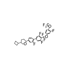 Fc1cc(OC(F)(F)c2c(F)cc(-c3ccc(C4CCC(C5CCC5)CO4)cc3F)cc2F)ccc1OC(F)(F)F